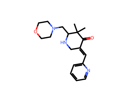 CC1(C)C(=O)C(=Cc2ccccn2)CNC1CN1CCOCC1